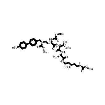 CCCCc1ccc(-c2ccc(CN(CC[C@H](NC(=O)OC(C)(C)C)C(=O)N[C@@H](C(=O)N[C@H](N)C(=O)N[C@H](CCCCNC(=O)OC(C)(C)C)C(=O)O)[C@H](C)OCC(C)C)C(=O)OC(C)(C)C)cc2)cc1